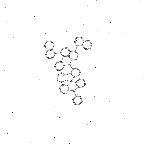 c1ccc(N2c3ccccc3C3(c4ccccc4-c4c(N(c5ccc(-c6cccc7ccccc67)cc5)c5ccccc5-c5ccccc5-c5cccc6ccccc56)cccc43)c3ccccc32)cc1